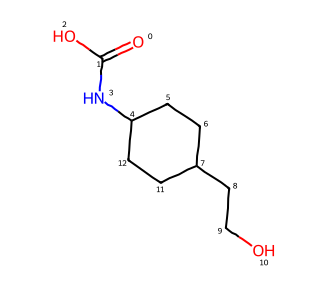 O=C(O)NC1CCC(CCO)CC1